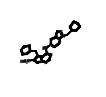 CCOC(=O)c1cn2ncnc(Nc3ccc4c(cnn4Cc4ccccc4)c3)c2c1Cc1ccccc1